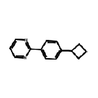 [CH]1CC(c2ccc(-c3ncccn3)cc2)C1